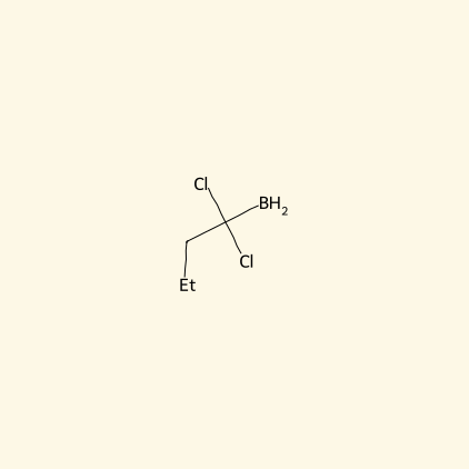 BC(Cl)(Cl)CCC